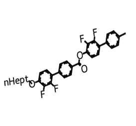 CCCCCCCOc1ccc(-c2ccc(C(=O)Oc3ccc(-c4ccc(C)cc4)c(F)c3F)cc2)c(F)c1F